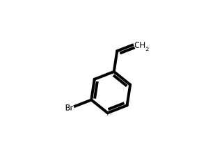 C=Cc1cc[c]c(Br)c1